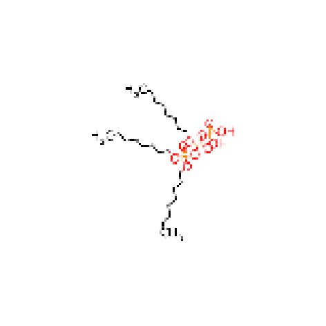 CCCCCCCCOP(=O)(OCCCCCCCC)OP(=O)(OCCCCCCCC)OP(=O)(O)O